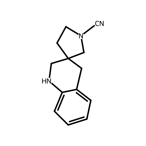 N#CN1CCC2(CNc3ccccc3C2)C1